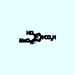 CO/N=C1/CN(C(=O)O)C[C@@H]1O